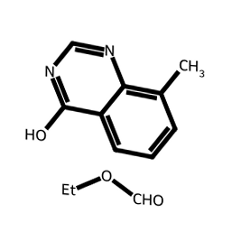 CCOC=O.Cc1cccc2c(O)ncnc12